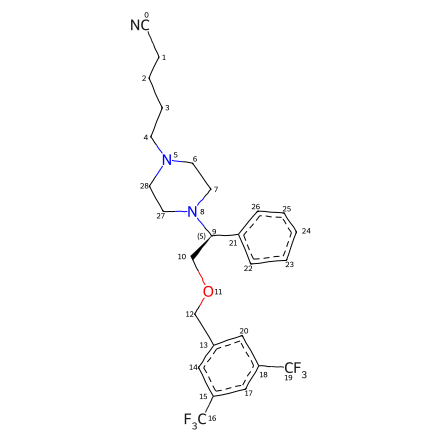 N#CCCCCN1CCN([C@H](COCc2cc(C(F)(F)F)cc(C(F)(F)F)c2)c2ccccc2)CC1